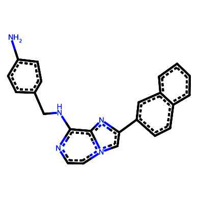 Nc1ccc(CNc2nccn3cc(-c4ccc5ccccc5c4)nc23)cc1